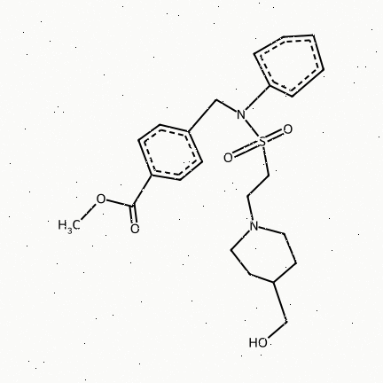 COC(=O)c1ccc(CN(c2ccccc2)S(=O)(=O)CCN2CCC(CO)CC2)cc1